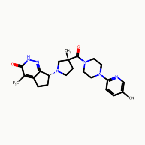 C[C@@]1(C(=O)N2CCN(c3ccc(C#N)cn3)CC2)CCN([C@@H]2CCc3c2n[nH]c(=O)c3C(F)(F)F)C1